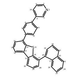 c1cncc(-c2ccc(-c3cccc4c3sc3c(-c5cccc6ccccc56)cccc34)cc2)c1